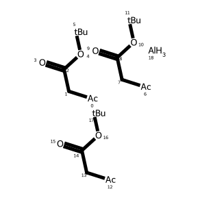 CC(=O)CC(=O)OC(C)(C)C.CC(=O)CC(=O)OC(C)(C)C.CC(=O)CC(=O)OC(C)(C)C.[AlH3]